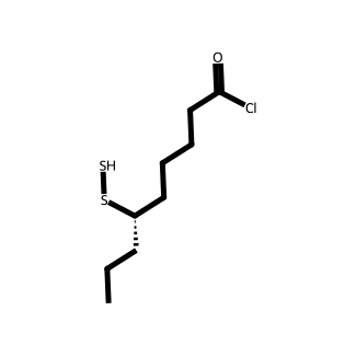 CCC[C@@H](CCCCC(=O)Cl)SS